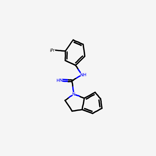 CC(C)c1cccc(NC(=N)N2CCc3ccccc32)c1